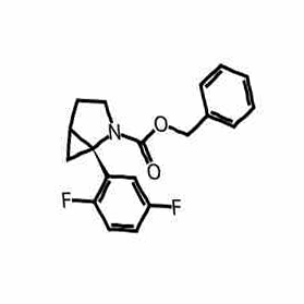 O=C(OCc1ccccc1)N1CCC2C[C@]21c1cc(F)ccc1F